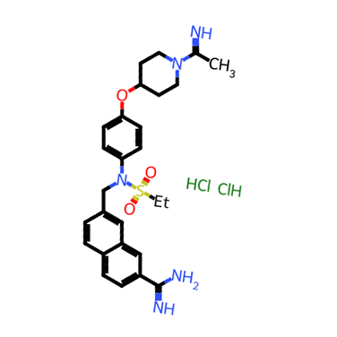 CCS(=O)(=O)N(Cc1ccc2ccc(C(=N)N)cc2c1)c1ccc(OC2CCN(C(C)=N)CC2)cc1.Cl.Cl